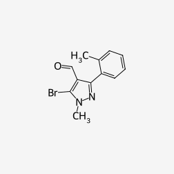 Cc1ccccc1-c1nn(C)c(Br)c1C=O